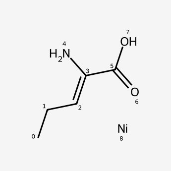 CCC=C(N)C(=O)O.[Ni]